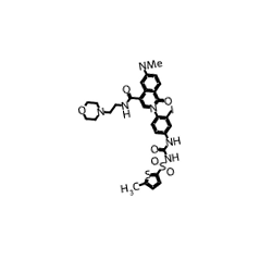 CNc1ccc2c(=O)n(-c3ccc(NC(=O)NS(=O)(=O)c4ccc(C)s4)cc3I)cc(C(=O)NCCN3CCOCC3)c2c1